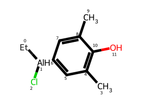 C[CH2][AlH][Cl].Cc1cccc(C)c1O